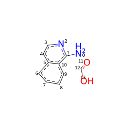 Nc1nccc2ccccc12.O=CO